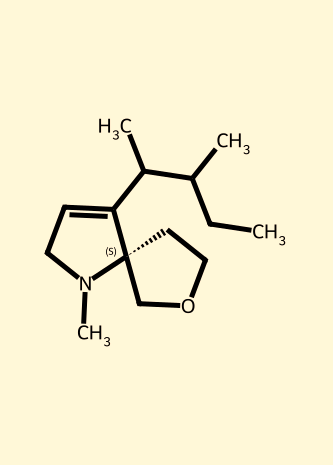 CCC(C)C(C)C1=CCN(C)[C@@]12CCOC2